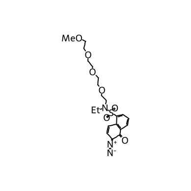 CCN(CCOCCOCCOCCOC)S(=O)(=O)c1cccc2c1C=CC(=[N+]=[N-])C2=O